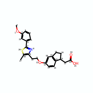 COc1cccc(-c2nc(CCOc3ccc4c(c3)CCC4CC(=O)O)c(C)s2)c1